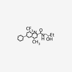 CCC(O)CNC(=O)c1cc(C)c2cc(-c3ccccc3)cc(C(F)(F)F)c2n1